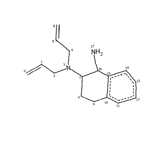 C=CCN(CC=C)C1CCc2ccccc2C1N